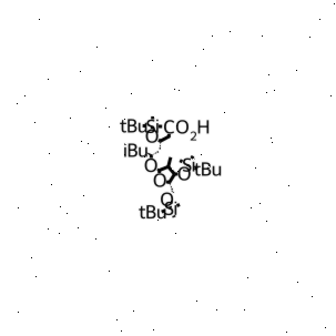 CC[C@H](C)[C@H](C[C@@H](CC(=O)O)O[Si](C)(C)C(C)(C)C)O[C@@H]1O[C@@H](CO[Si](C)(C)C(C)(C)C)C(O[Si](C)(C)C(C)(C)C)C1C